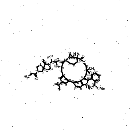 C=CC(=O)N1CC[C@]2(C1)OCN([C@H](C(=O)N[C@H]1Cc3cc(cc(C(F)F)c3)-c3ccc4c(c3)c(c(-c3cccnc3[C@H](C)OC)n4CC)CC(C)(C)COC(=O)[C@@H]3CCCN(C1=O)N1C[C@H]31)C(C)C)C2=O